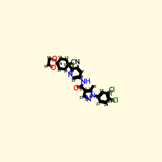 Cc1c(C(=O)Nc2ccc(C3(C#N)CCC4(CC3)OCCO4)nc2)cnn1-c1ccc(Cl)c(Cl)c1